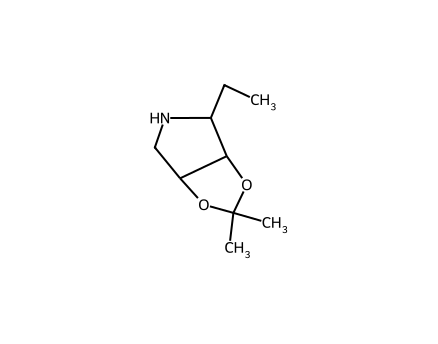 CCC1NCC2OC(C)(C)OC12